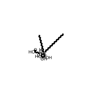 CCCCCCCCCCCCCCCCCCN(C(=O)CCCCCCCCCCC)[C@@H]1O[C@H](CO)[C@@H](O)[C@H](O)[C@H]1NC(=O)CCC(=O)O